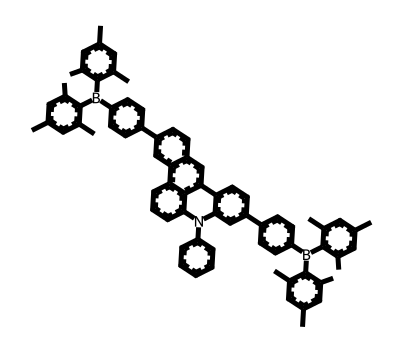 Cc1cc(C)c(B(c2ccc(-c3ccc4c(c3)N(c3ccccc3)c3cccc5c3c-4cc3ccc(-c4ccc(B(c6c(C)cc(C)cc6C)c6c(C)cc(C)cc6C)cc4)cc35)cc2)c2c(C)cc(C)cc2C)c(C)c1